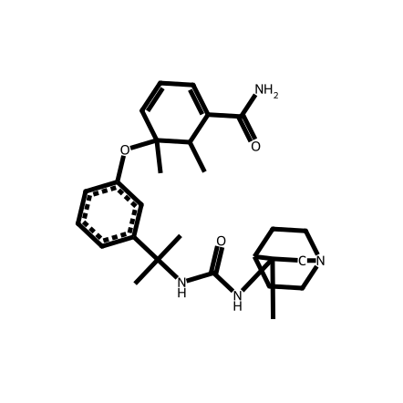 CC1C(C(N)=O)=CC=CC1(C)Oc1cccc(C(C)(C)NC(=O)NC2(C)CN3CCC2CC3)c1